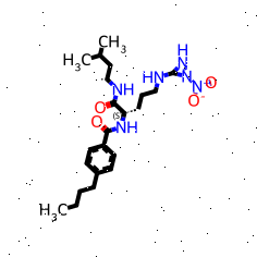 CCCCc1ccc(C(=O)N[C@@H](CCCNC2NN2[N+](=O)[O-])C(=O)N[CH]CC(C)C)cc1